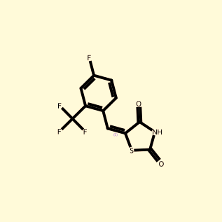 O=C1NC(=O)/C(=C\c2ccc(F)cc2C(F)(F)F)S1